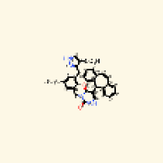 CCOC(=O)c1cc(Cc2n[nH]cc2C(=O)O)cc(Cn2c(=O)[nH]cc(C3c4ccccc4C=Cc4ccccc43)c2=O)c1